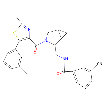 Cc1cccc(-c2sc(C)nc2C(=O)N2CC3CC3C2CNC(=O)c2cccc(C#N)c2)c1